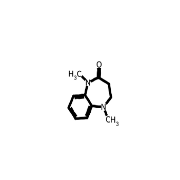 CN1CCC(=O)N(C)c2ccccc21